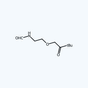 CC(C)(C)C(=O)COCCNC=O